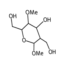 COC1OC(CO)C(OC)C(O)C1CO